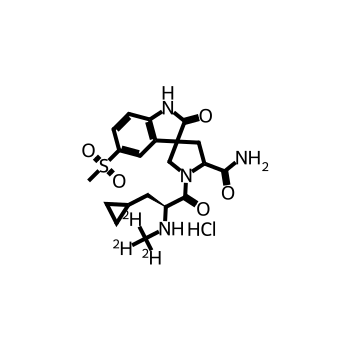 Cl.[2H]C([2H])([2H])N[C@@H](CC1CC1)C(=O)N1CC2(CC1C(N)=O)C(=O)Nc1ccc(S(C)(=O)=O)cc12